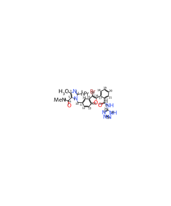 CCCc1nc(C)c(C(=O)NC)n1Cc1ccc2oc(-c3ccccc3C(=O)Nc3nnn[nH]3)c(Br)c2c1